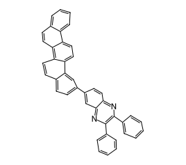 c1ccc(-c2nc3ccc(-c4ccc5ccc6c(ccc7c8ccccc8ccc76)c5c4)cc3nc2-c2ccccc2)cc1